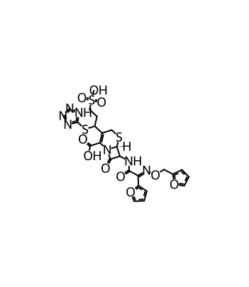 O=C(O)C1=C(C(CCS(=O)(=O)O)Sc2nnn[nH]2)CS[C@H]2C(NC(=O)C(=NOCc3ccco3)c3ccco3)C(=O)N12